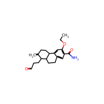 C=C1CCC2c3cc(OCC)c(C(N)=O)cc3CCC2C1CCC=O